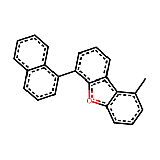 Cc1cccc2oc3c(-c4cccc5ccccc45)cccc3c12